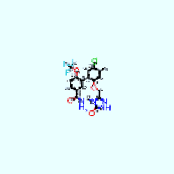 Cc1cc(OCc2n[nH]c(=O)n2C)c(-c2cc(C(N)=O)ccc2OC(F)(F)F)cc1Cl